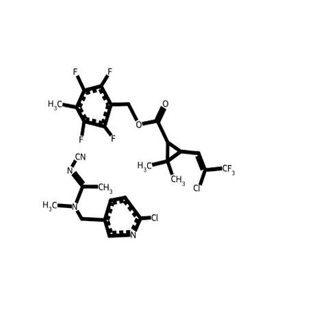 C/C(=N\C#N)N(C)Cc1ccc(Cl)nc1.Cc1c(F)c(F)c(COC(=O)C2C(/C=C(\Cl)C(F)(F)F)C2(C)C)c(F)c1F